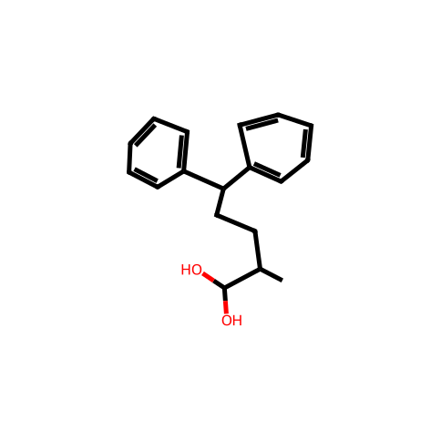 CC(CCC(c1ccccc1)c1ccccc1)C(O)O